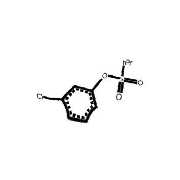 CCCS(=O)(=O)Oc1cccc(Cl)c1